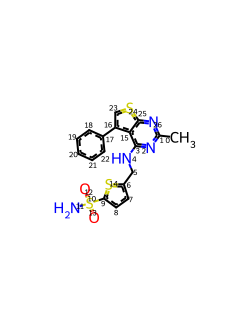 Cc1nc(NCc2ccc(S(N)(=O)=O)s2)c2c(-c3ccccc3)csc2n1